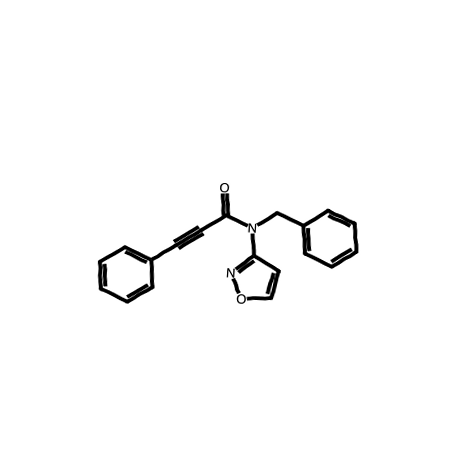 O=C(C#Cc1ccccc1)N(Cc1ccccc1)c1ccon1